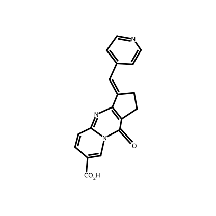 O=C(O)c1ccc2nc3c(c(=O)n2c1)CCC3=Cc1ccncc1